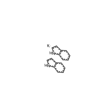 [K].c1ccc2[nH]ccc2c1.c1ccc2[nH]ccc2c1